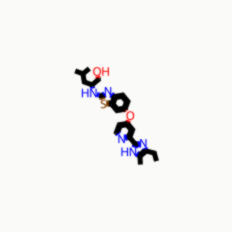 CCc1nc(-c2cc(Oc3ccc4nc(NC(CO)CC(C)C)sc4c3)ccn2)[nH]c1C